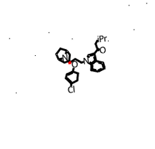 CC(C)CC(=O)c1cn(CCCN2C3CCC2CC(OC2=CC=C(Cl)CC2)C3)c2ccccc12